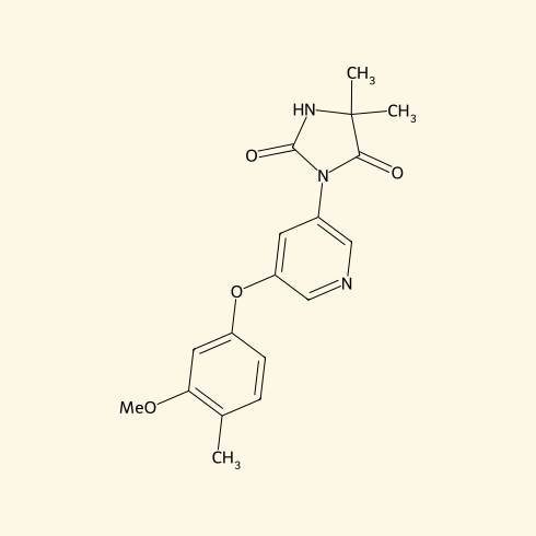 COc1cc(Oc2cncc(N3C(=O)NC(C)(C)C3=O)c2)ccc1C